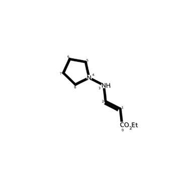 CCOC(=O)C=CNN1CCCC1